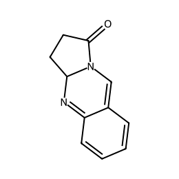 O=C1CCC2N=c3ccccc3=CN12